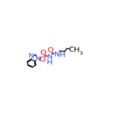 CCCCNC(=O)NC(=O)On1cnc2ccccc21